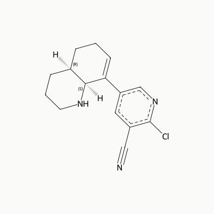 N#Cc1cc(C2=CCC[C@@H]3CCCN[C@H]23)cnc1Cl